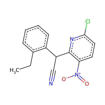 CCc1ccccc1C(C#N)c1nc(Cl)ccc1[N+](=O)[O-]